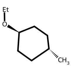 CCO[C@H]1CC[C@H](C)CC1